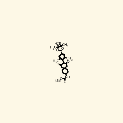 Cc1cc(B2OC(C)(C)C(C)(C)O2)cc(C)c1C1C(=O)CC2(CCC(NC(=O)OC(C)(C)C)CC2)CC1=O